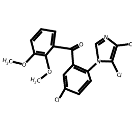 COc1cccc(C(=O)c2cc(Cl)ccc2-n2cnc(Cl)c2Cl)c1OC